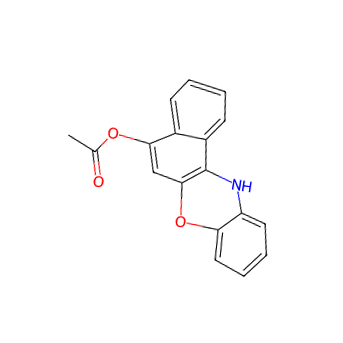 CC(=O)Oc1cc2c(c3ccccc13)Nc1ccccc1O2